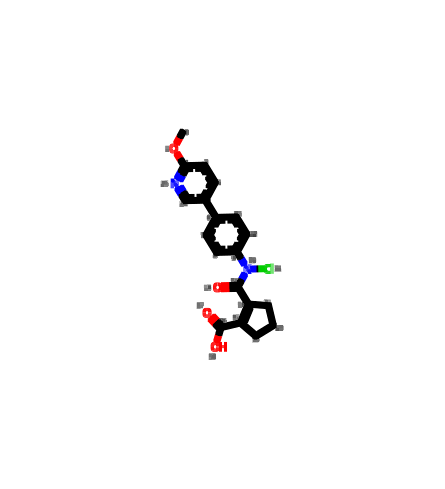 COc1ccc(-c2ccc(N(Cl)C(=O)C3=C(C(=O)O)CCC3)cc2)cn1